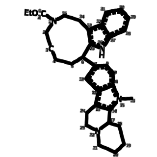 CCOC(=O)N1CCCCC(c2ccc3c(c2)c2c(n3C)C3CCCCN3CC2)c2[nH]c3ccccc3c2CC1